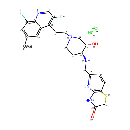 COc1cc(F)c2ncc(F)c(CCN3CC[C@H](NCc4ccc5c(n4)NC(=O)CS5)[C@@H](O)C3)c2c1.Cl.Cl